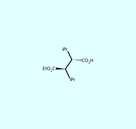 CCOC(=O)[C@H](C(C)C)[C@@H](C(=O)O)C(C)C